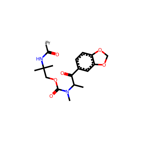 CC(C)C(=O)NC(C)(C)COC(=O)N(C)C(C)C(=O)c1ccc2c(c1)OCO2